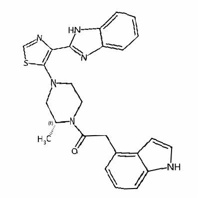 C[C@@H]1CN(c2scnc2-c2nc3ccccc3[nH]2)CCN1C(=O)Cc1cccc2[nH]ccc12